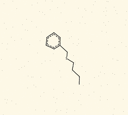 CCCCSCc1[c]cccc1